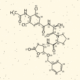 CC(=O)Nc1c(Cl)cc(C(=O)N[C@@H](C)C(=O)N2CCC[C@H]2C(=O)N[C@H]2CC(=O)OC2OCc2ccccc2)cc1Cl